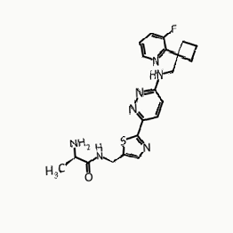 C[C@@H](N)C(=O)NCc1cnc(-c2ccc(NCC3(c4ncccc4F)CCC3)nn2)s1